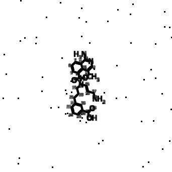 Cc1cnc(N)c2cccc(S(=O)(=O)N(C=CCN)CCCc3cccc(C(=O)O)c3)c12